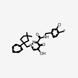 CC1(C)CCC(Cn2cc(O)c(=O)c(C(=O)NCc3ccc(F)c(Cl)c3)n2)(c2ccccc2)C1